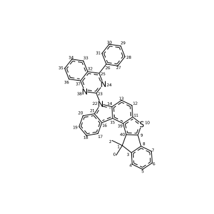 CC1(C)c2ccccc2-c2sc3ccc4c(c5ccccc5n4-c4nc(-c5ccccc5)c5ccccc5n4)c3c21